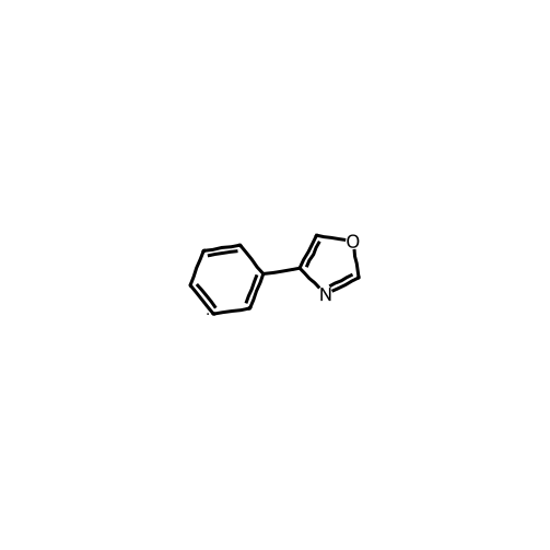 [c]1cccc(-c2cocn2)c1